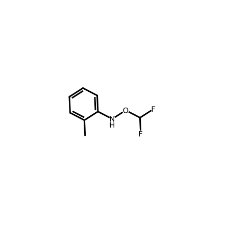 Cc1ccccc1NOC(F)F